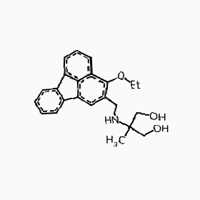 CCOc1c(CNC(C)(CO)CO)cc2c3c(cccc13)-c1ccccc1-2